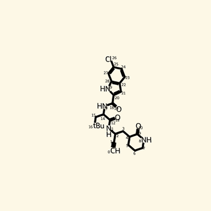 C#CC(CC1CCCNC1=O)NC(=O)C(CC(C)(C)C)NC(=O)c1cc2ccc(Cl)cc2[nH]1